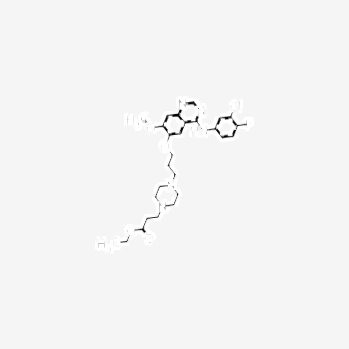 CCOC(=O)CCN1CCN(CCCOc2cc3c(Nc4ccc(F)c(Cl)c4)ncnc3cc2OC)CC1